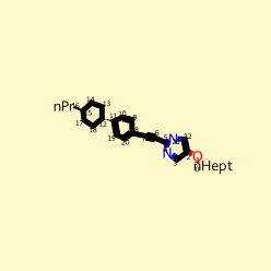 CCCCCCCOc1cnc(C#Cc2ccc([C@H]3CC[C@H](CCC)CC3)cc2)nc1